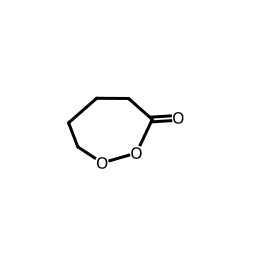 O=C1CCCCOO1